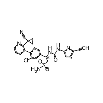 C#Cc1nc(NC(=O)N[C@@H](CS(N)(=O)=O)c2ccc(-c3cccnc3C3(C#N)CC3)c(Cl)c2)cs1